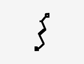 Cl[CH]/C=C/CBr